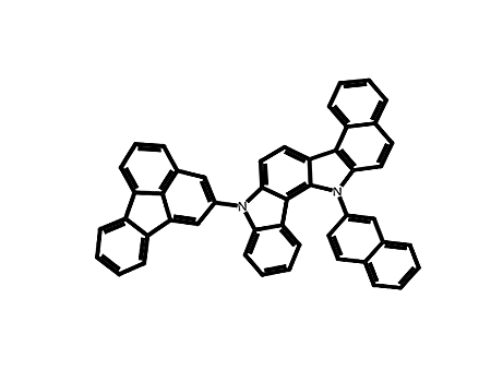 c1ccc2c(c1)-c1cccc3cc(-n4c5ccccc5c5c4ccc4c6c7ccccc7ccc6n(-c6ccc7ccccc7c6)c45)cc-2c13